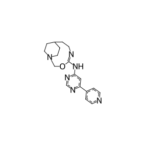 c1cc(-c2cc(N/C3=N/CCC4CCN(CC4)CO3)ncn2)ccn1